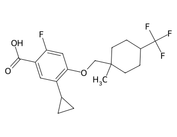 CC1(COc2cc(F)c(C(=O)O)cc2C2CC2)CCC(C(F)(F)F)CC1